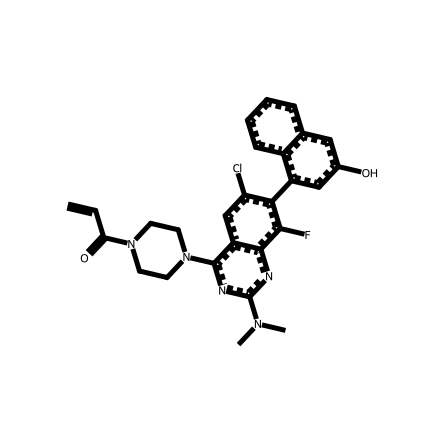 C=CC(=O)N1CCN(c2nc(N(C)C)nc3c(F)c(-c4cc(O)cc5ccccc45)c(Cl)cc23)CC1